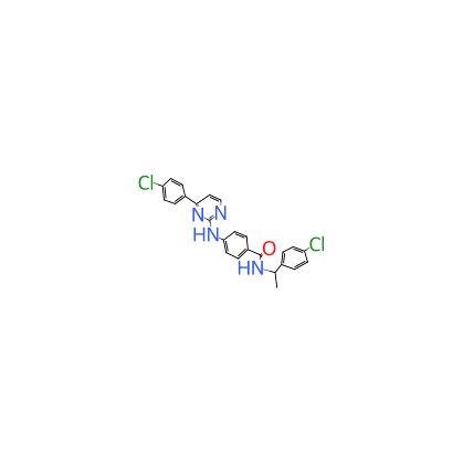 CC(NC(=O)c1ccc(Nc2nccc(-c3ccc(Cl)cc3)n2)cc1)c1ccc(Cl)cc1